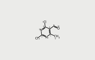 Cc1nc(Cl)nc(Cl)c1C=O